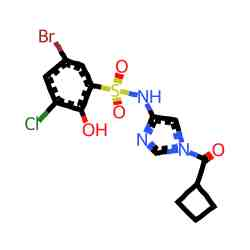 O=C(C1CCC1)n1cnc(NS(=O)(=O)c2cc(Br)cc(Cl)c2O)c1